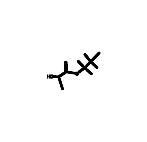 CC(O)C(=O)O[Si](C)(C)C(C)(C)C